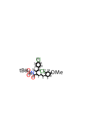 COc1ccc(/C=C/C=C2/C(=O)N(C(=O)OC(C)(C)C)C/C2=C\c2ccc(Cl)cc2)c(Cl)c1